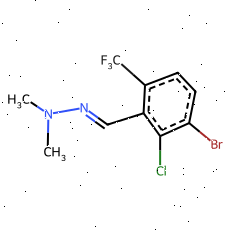 CN(C)/N=C/c1c(C(F)(F)F)ccc(Br)c1Cl